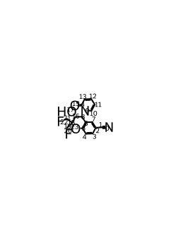 N#Cc1ccc2c(c1)C(n1ccccc1=O)C(O)C(CF)(CF)O2